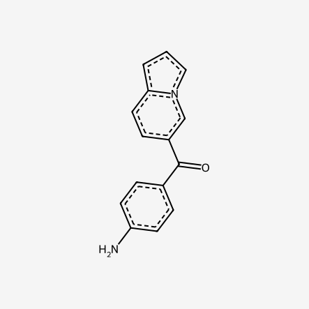 Nc1ccc(C(=O)c2ccc3cccn3c2)cc1